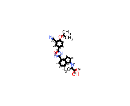 CC(C)Oc1ccc(-c2nc(-c3cccc4c3CC/C4=N/[C@@H](C)C(=O)O)no2)cc1C#N